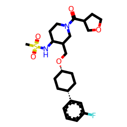 CS(=O)(=O)NC1CCN(C(=O)C2CCOC2)CC1CO[C@H]1CC[C@@H](c2cccc(F)c2)CC1